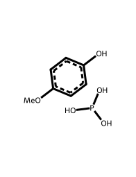 COc1ccc(O)cc1.OP(O)O